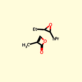 CC1=COC1=O.CCCC1OC1CC